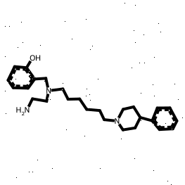 NCCN(CCCCCCN1CCC(c2ccccc2)CC1)Cc1ccccc1O